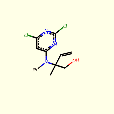 C=CC(C)(CO)N(c1cc(Cl)nc(Cl)n1)C(C)C